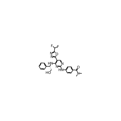 CN(C)C(=O)c1ccc(Nc2ncc(-c3nnc(C(F)F)o3)c(N[C@H](CO)c3ccccc3)n2)cc1